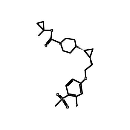 CC1(OC(=O)N2CCC([C@@H]3C[C@H]3CCOc3ccc(S(C)(=O)=O)c(F)c3)CC2)CC1